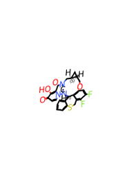 O=C1c2c(O)c(=O)ccn2N2CN1C[C@H]1C[C@@H]1COc1cc(F)c(F)c3c1[C@@H]2c1ccccc1SC3